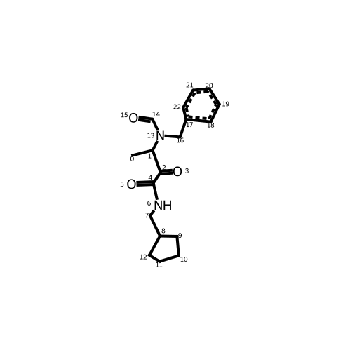 CC(C(=O)C(=O)NCC1CCCC1)N(C=O)Cc1ccccc1